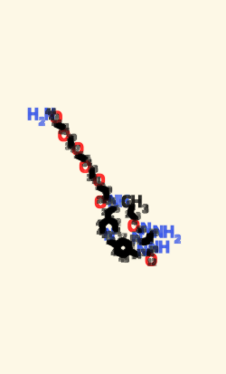 CCCCOc1nc(N)c2[nH]c(=O)n(Cc3ccc(CN4CCC(CCNC(=O)CCOCCOCCOCCOCCON)CC4)cc3)c2n1